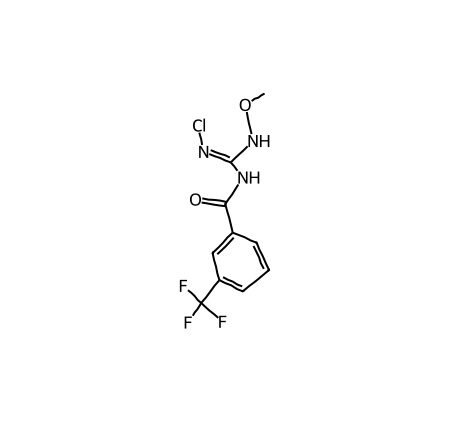 CONC(=NCl)NC(=O)c1cccc(C(F)(F)F)c1